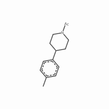 CC(=O)N1CCC(c2ccc(C)cc2)CC1